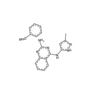 COc1ccccc1.Cc1cc(Nc2nc(N)nc3ccccc23)[nH]n1